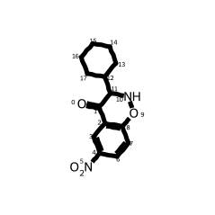 O=C1c2cc([N+](=O)[O-])ccc2ONC1C1CCCCC1